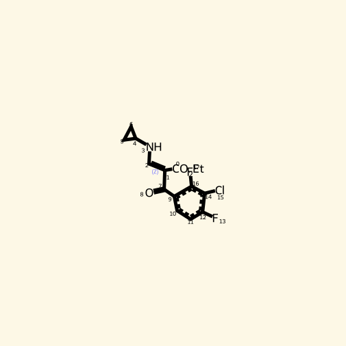 CCOC(=O)/C(=C\NC1CC1)C(=O)c1ccc(F)c(Cl)c1F